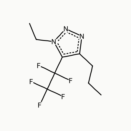 CCCc1nnn(CC)c1C(F)(F)C(F)(F)F